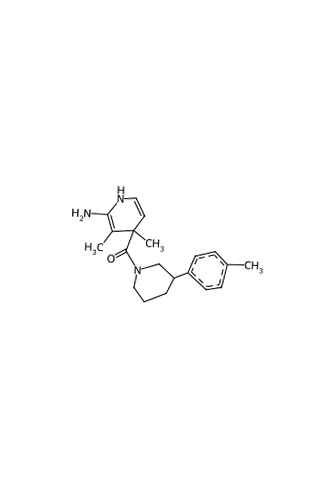 CC1=C(N)NC=CC1(C)C(=O)N1CCCC(c2ccc(C)cc2)C1